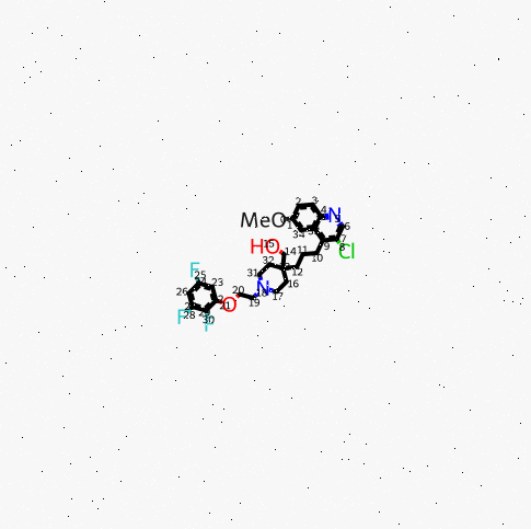 COc1ccc2ncc(Cl)c(CCCC3(CO)CCN(CCOc4cc(F)cc(F)c4F)CC3)c2c1